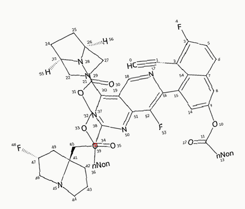 C#Cc1c(F)ccc2cc(OC(=O)CCCCCCCCC)cc(-c3ncc4c(N5C[C@H]6CC[C@@H](C5)N6C(=O)OCOC(=O)CCCCCCCCC)nc(OC[C@@]56CCCN5C[C@H](F)C6)nc4c3F)c12